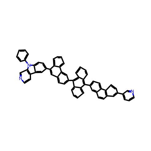 c1ccc(-n2c3ccc(-c4cc5ccc(-c6c7ccccc7c(-c7ccc8c(ccc9cc(-c%10cccnc%10)ccc98)c7)c7ccccc67)cc5c5ccccc45)cc3c3ccncc32)cc1